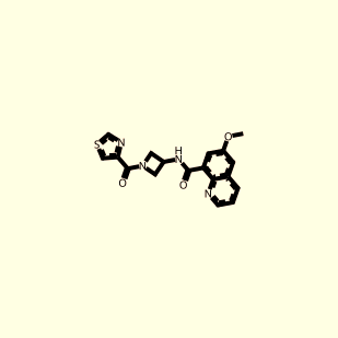 COc1cc(C(=O)NC2CN(C(=O)c3cscn3)C2)c2ncccc2c1